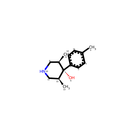 Cc1ccc([C@]2(O)[C@H](C)CNC[C@@H]2C)cc1